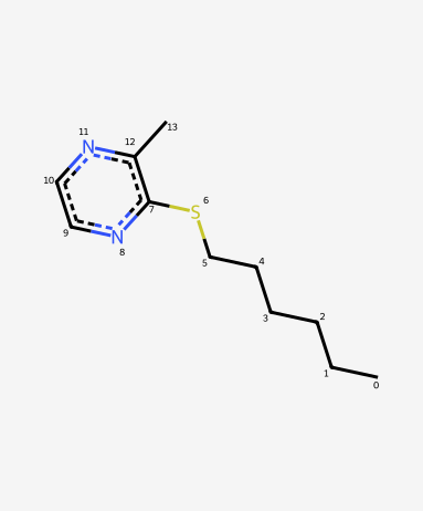 CCCCCCSc1nccnc1C